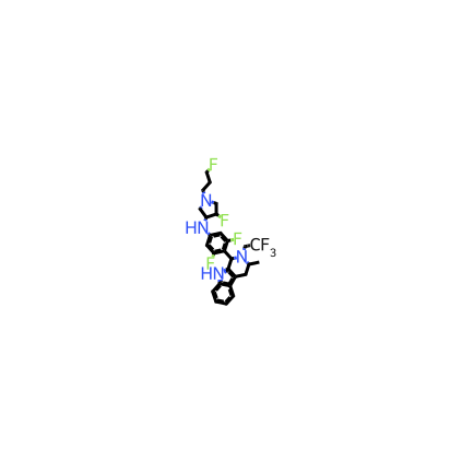 CC1Cc2c([nH]c3ccccc23)C(c2c(F)cc(NC3CN(CCCF)CC3F)cc2F)N1CC(F)(F)F